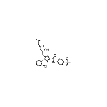 Cc1c(C(=O)Nc2ccc(S(C)(=O)=O)cc2)cn(CC(O)CNCC(C)C)c1-c1ccccc1Cl